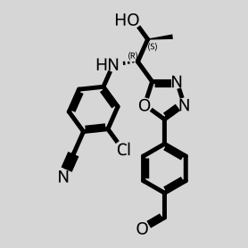 C[C@H](O)[C@@H](Nc1ccc(C#N)c(Cl)c1)c1nnc(-c2ccc(C=O)cc2)o1